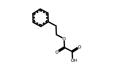 O=C(O)C(=O)OCCc1ccccc1